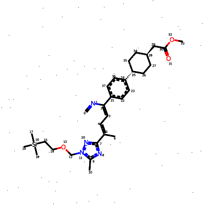 C=N/C(=C\C=C(/C)c1nc(C)n(COCC[Si](C)(C)C)n1)c1ccc([C@H]2CC[C@H](CC(=O)OC)CC2)cc1